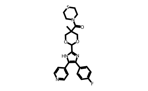 CC1(C(=O)N2CCSCC2)COC(c2nc(-c3ccc(F)cc3)c(-c3ccncc3)[nH]2)OC1